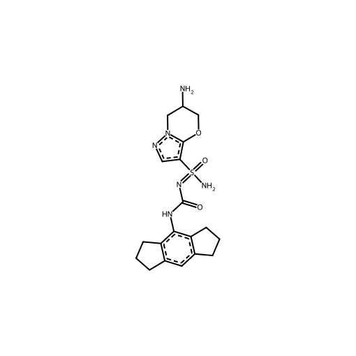 NC1COc2c(S(N)(=O)=NC(=O)Nc3c4c(cc5c3CCC5)CCC4)cnn2C1